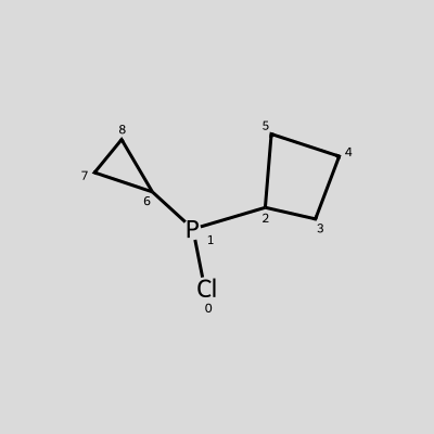 ClP(C1CCC1)C1CC1